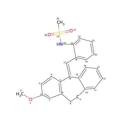 COc1ccc2c(c1)CCc1ccccc1C2=Cc1ccccc1NS(C)(=O)=O